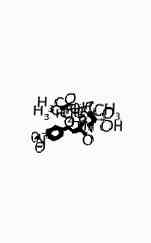 C=S1[C@@H]2C(=CC(=O)c3ccc([N+](=O)[O-])cc3)C(=O)N2[C@@H](C(=O)O)C1(C)C.CC(C)(C)C(=O)O